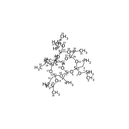 C[SiH2]O[Si]1(CP)O[Si]2(CP)O[Si](CP)(O[SiH2]C)O[Si]3(PC)O[Si](O[SiH2]C)(PC)O[Si](PC)(O1)O[Si](PC)(O2)O3